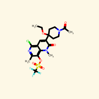 CCOC1(c2cc3c(Cl)nc(C)c(OS(=O)(=O)C(F)(F)F)c3n(C)c2=O)CCN(C(C)=O)CC1